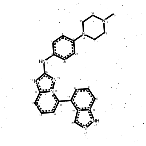 CN1CCN(c2ccc(Nc3nc4cccc(-c5cccc6[nH]ncc56)n4n3)cc2)CC1